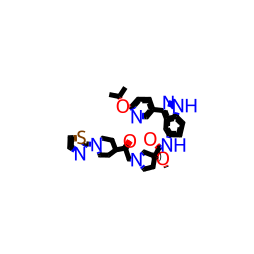 CO[C@@]1(C(=O)Nc2ccc3[nH]nc(-c4ccc(OC(C)C)nc4)c3c2)CCN(CC(=O)C2CCN(c3nccs3)CC2)C1